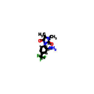 C=C1C(=O)N(c2ccc(C(F)(F)F)cc2N)C(=O)N1C